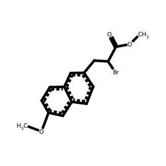 COC(=O)C(Br)Cc1ccc2cc(OC)ccc2c1